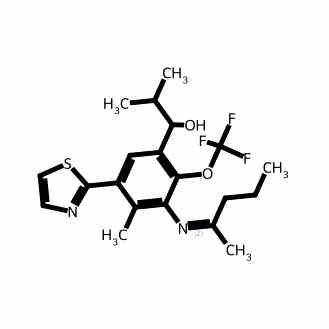 CCC/C(C)=N\c1c(C)c(-c2nccs2)cc(C(O)C(C)C)c1OC(F)(F)F